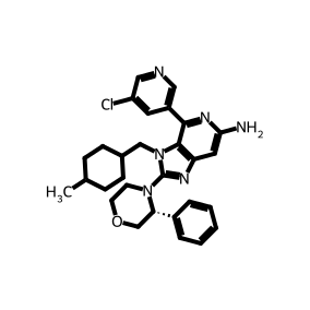 CC1CCC(Cn2c(N3CCOC[C@H]3c3ccccc3)nc3cc(N)nc(-c4cncc(Cl)c4)c32)CC1